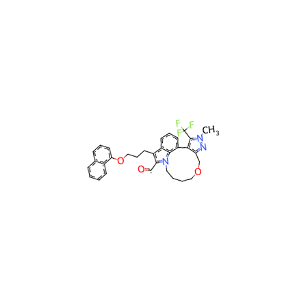 Cn1nc2c(c1C(F)(F)F)-c1cccc3c(CCCOc4cccc5ccccc45)c([C]=O)n(c13)CCCCOC2